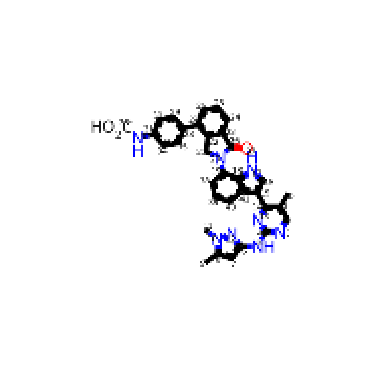 Cc1cnc(Nc2cc(C)n(C)n2)nc1-c1c[nH]c2c(N3Cc4c(cccc4-c4ccc(NC(=O)O)cc4)C3=O)cccc12